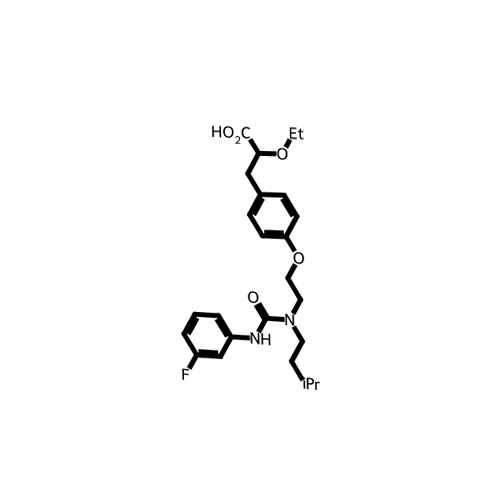 CCOC(Cc1ccc(OCCN(CCC(C)C)C(=O)Nc2cccc(F)c2)cc1)C(=O)O